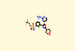 Nc1nccc(-c2oc(C3CCOCC3)nc2-c2cccc(NS(=O)(=O)CCC(F)(F)F)c2F)n1